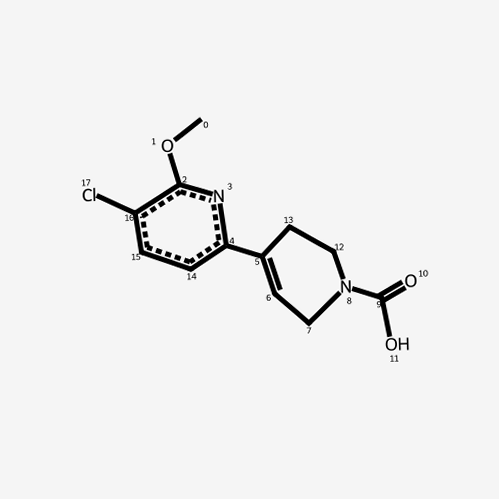 COc1nc(C2=CCN(C(=O)O)CC2)ccc1Cl